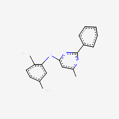 COc1ccc(OC)c(Nc2cc(C(F)(F)F)nc(-c3ccccc3)n2)c1